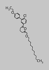 CCCCCCCCCCCOC[C@H]1CCC[C@@H](c2ccc(Cl)c(-c3ccc(OCC)cc3)c2)O1